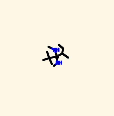 CCC(C)[Si](NC)(NC)C(C)(C)C